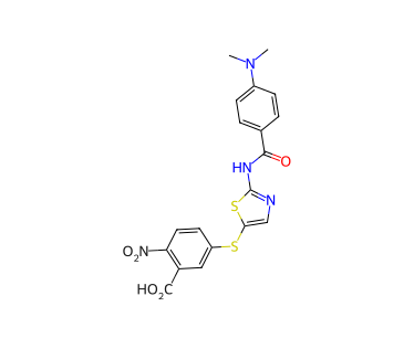 CN(C)c1ccc(C(=O)Nc2ncc(Sc3ccc([N+](=O)[O-])c(C(=O)O)c3)s2)cc1